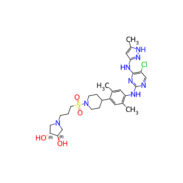 Cc1cc(Nc2nc(Nc3cc(C)c(C4CCN(S(=O)(=O)CCCN5C[C@@H](O)[C@H](O)C5)CC4)cc3C)ncc2Cl)n[nH]1